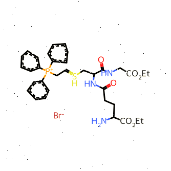 CCOC(=O)CNC(=O)C(C[SH]=CC[P+](c1ccccc1)(c1ccccc1)c1ccccc1)NC(=O)CCC(N)C(=O)OCC.[Br-]